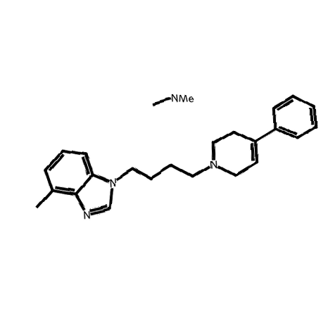 CNC.Cc1cccc2c1ncn2CCCCN1CC=C(c2ccccc2)CC1